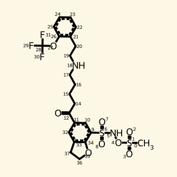 CS(=O)(=O)ONS(=O)(=O)c1cc(C(=O)CCCCNCCc2ccccc2OC(F)(F)F)cc2c1OCC2